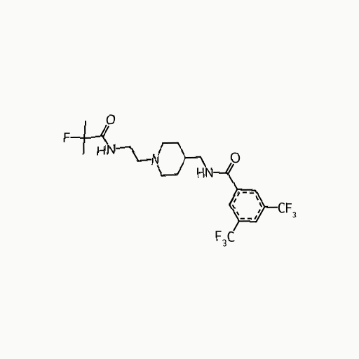 CC(C)(F)C(=O)NCCN1CCC(CNC(=O)c2cc(C(F)(F)F)cc(C(F)(F)F)c2)CC1